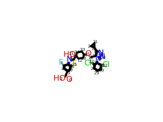 O=C(O)c1cc(F)c2nc(C3(O)CCC(OCc4c(C5CC5)nnn4-c4c(Cl)cccc4Cl)CC3)sc2c1